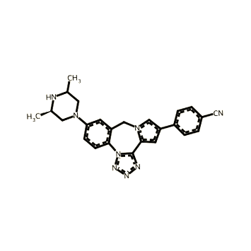 CC1CN(c2ccc3c(c2)Cn2cc(-c4ccc(C#N)cc4)cc2-c2nnnn2-3)C[C@@H](C)N1